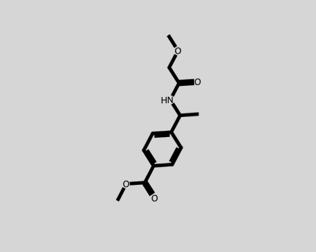 COCC(=O)NC(C)c1ccc(C(=O)OC)cc1